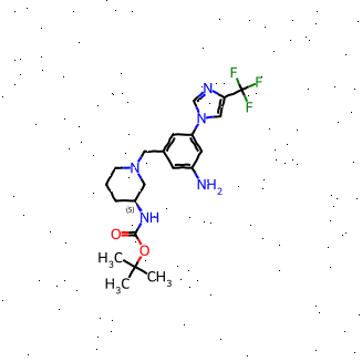 CC(C)(C)OC(=O)N[C@H]1CCCN(Cc2cc(N)cc(-n3cnc(C(F)(F)F)c3)c2)C1